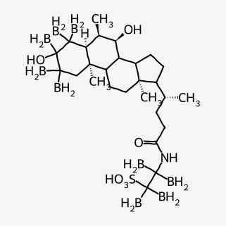 BC1(B)C[C@]2(C)C3CC[C@@]4(C)C(CCC4[C@H](C)CCC(=O)NC(B)(B)C(B)(B)S(=O)(=O)O)C3[C@H](O)[C@H](C)[C@@H]2C(B)(B)C1(B)O